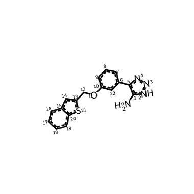 Nc1[nH]nnc1-c1cccc(OCc2cc3ccccc3s2)c1